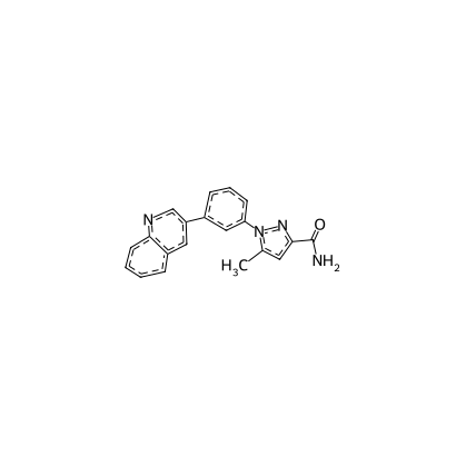 Cc1cc(C(N)=O)nn1-c1cccc(-c2cnc3ccccc3c2)c1